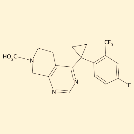 O=C(O)N1CCc2c(ncnc2C2(c3ccc(F)cc3C(F)(F)F)CC2)C1